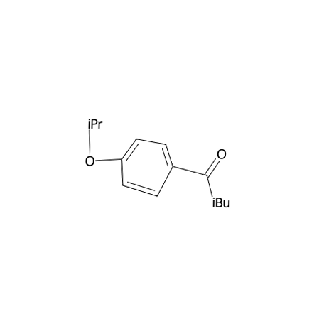 CCC(C)C(=O)c1ccc(OC(C)C)cc1